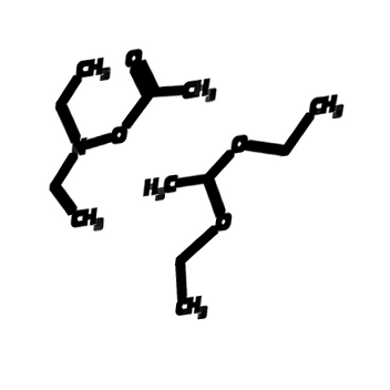 CCN(CC)OC(C)=O.CCOC(C)OCC